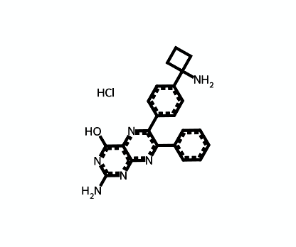 Cl.Nc1nc(O)c2nc(-c3ccc(C4(N)CCC4)cc3)c(-c3ccccc3)nc2n1